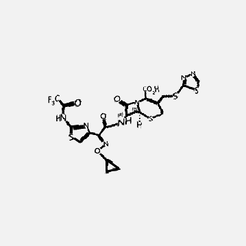 O=C(O)C1=C(CSc2nncs2)CS[C@H]2[C@H](NC(=O)C(=NOC3CC3)c3csc(NC(=O)C(F)(F)F)n3)C(=O)N12